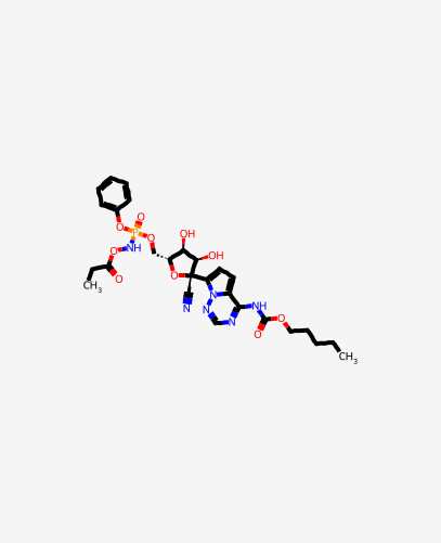 CCCCCOC(=O)Nc1ncnn2c([C@]3(C#N)O[C@H](COP(=O)(NOC(=O)CC)Oc4ccccc4)[C@@H](O)[C@H]3O)ccc12